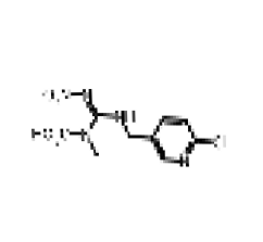 CN(C(=O)O)C(=N[N+](=O)[O-])NCc1ccc(Cl)nc1